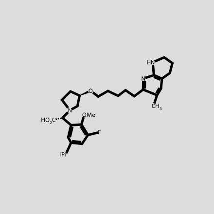 COc1c(F)cc(C(C)C)cc1[C@H](C(=O)O)N1CC[C@@H](OCCCCCc2nc3c(cc2C)CCCN3)C1